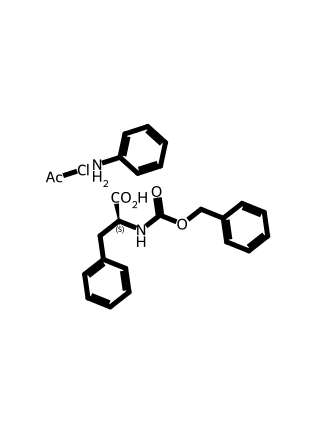 CC(=O)Cl.Nc1ccccc1.O=C(N[C@@H](Cc1ccccc1)C(=O)O)OCc1ccccc1